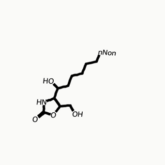 CCCCCCCCCCCCCCC(O)C1NC(=O)OC1CO